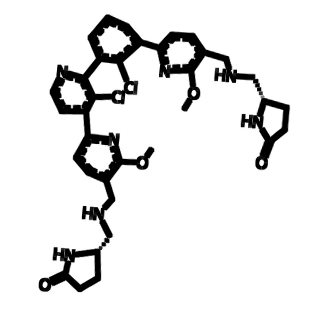 COc1nc(-c2cccc(-c3nccc(-c4ccc(CNC[C@@H]5CCC(=O)N5)c(OC)n4)c3Cl)c2Cl)ccc1CNC[C@@H]1CCC(=O)N1